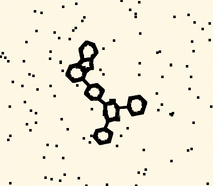 c1ccc(-c2nc(-c3ccccc3)nc(-c3ccc(-c4cccc5c4sc4ccccc45)cc3)n2)cc1